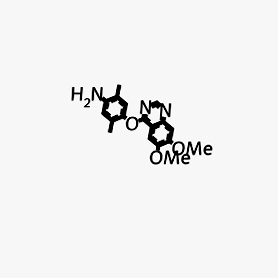 COc1cc2ncnc(Oc3cc(C)c(N)cc3C)c2cc1OC